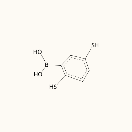 OB(O)c1cc(S)ccc1S